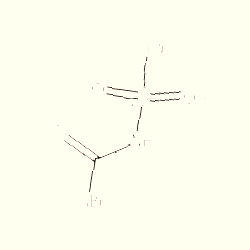 CCC(C)C(=O)NS(=O)(=O)C(C)C